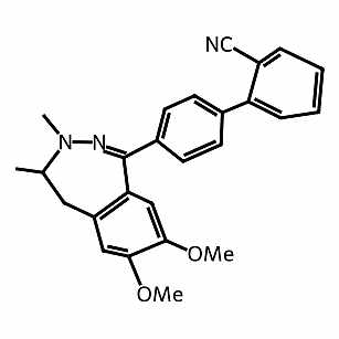 COc1cc2c(cc1OC)C(c1ccc(-c3ccccc3C#N)cc1)=NN(C)C(C)C2